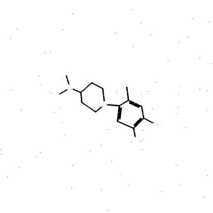 CCc1cc(N)c(OC)cc1N1CCC(N(C)C)CC1